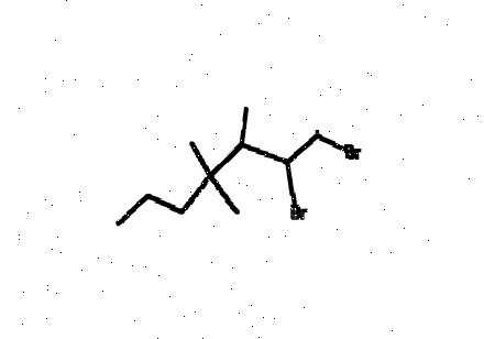 CCCC(C)(C)C(C)C(Br)[CH]Br